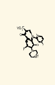 O=C(O)c1cn(-c2cc(F)ccn2)c2c(Cl)c(N3CCNCC3)c(F)cc2c1=O